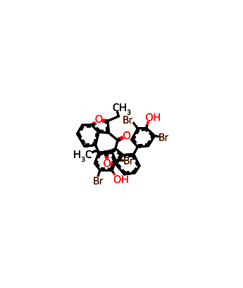 CCc1oc2cccc(-c3cc(Br)c(O)c(Br)c3)c2c1C(=O)c1c(CC)oc2cccc(-c3cc(Br)c(O)c(Br)c3)c12